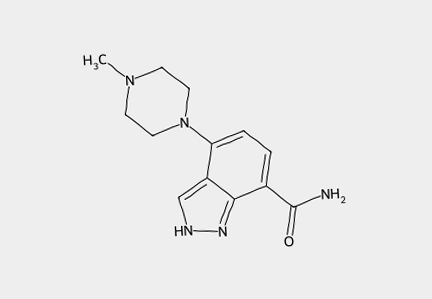 CN1CCN(c2ccc(C(N)=O)c3n[nH]cc23)CC1